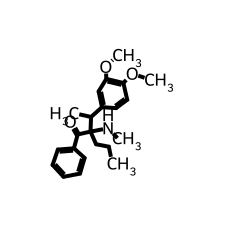 CCCC(NC)(C(=O)c1ccccc1)C(C)c1ccc(OC)c(OC)c1